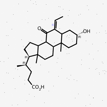 C/C=C1/C(=O)C2C(CCC3(C)C2CC[C@@H]3[C@H](C)CCC(=O)O)C2(C)CC[C@@H](O)CC12